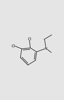 C[CH]N(C)c1cccc(Cl)c1Cl